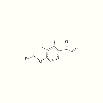 C=CC(=O)c1ccc(ONCC)c(C)c1C